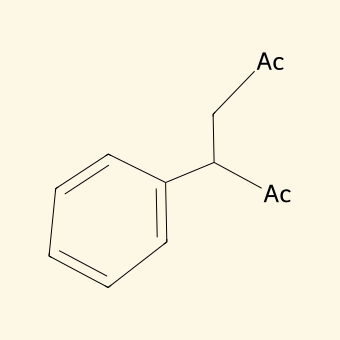 CC(=O)CC(C(C)=O)c1ccccc1